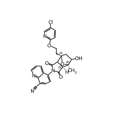 C[C@]12O[C@@](CCOc3ccc(Cl)cn3)(CC1O)C1C(=O)N(c3ccc(C#N)c4ncccc34)C(=O)[C@@H]12